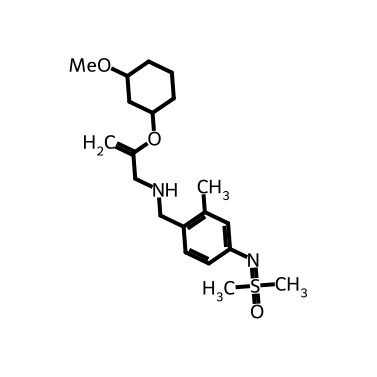 C=C(CNCc1ccc(N=S(C)(C)=O)cc1C)OC1CCCC(OC)C1